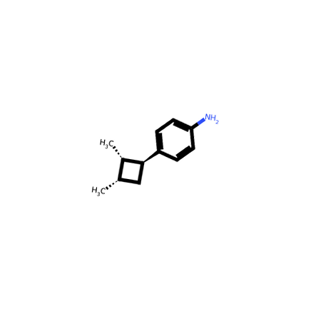 C[C@@H]1[C@@H](c2ccc(N)cc2)C[C@@H]1C